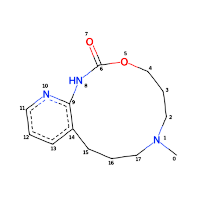 CN1CCCOC(=O)Nc2ncccc2CCC1